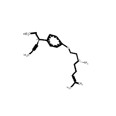 CC#C[C@@H](CC(=O)O)c1ccc(OCC[C@H](C)CCC=C(C)C)cc1